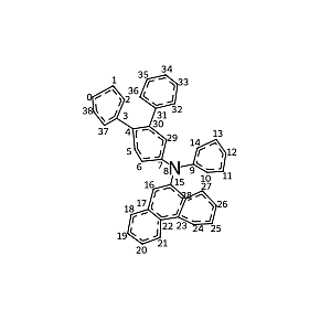 c1ccc(-c2ccc(N(c3ccccc3)c3cc4ccccc4c4ccccc34)cc2-c2ccccc2)cc1